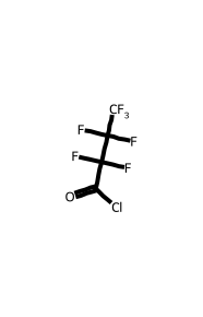 O=C(Cl)C(F)(F)C(F)(F)C(F)(F)F